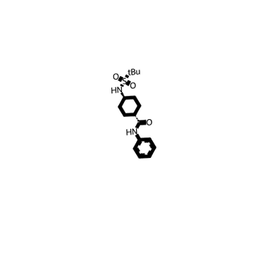 CC(C)(C)S(=O)(=O)N[C@H]1CC[C@H](C(=O)Nc2ccccc2)CC1